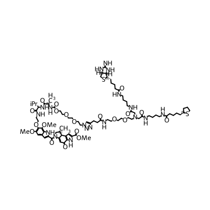 COC(=O)c1cc2c([nH]1)C(=O)C=C1C2[C@H](C)CN1C(=O)c1cc2cc(OC)c(OCCNC(=O)C(NC(=O)[C@H](C)NC(=O)OCCOCCOCCn3cc(CCC(=O)NCCOCCOCCN(CC(=O)NCCCCNC(=O)CCCC[C@H]4CCCS4)CC(=O)NCCCCNC(=O)CCCC[C@@H]4SC[C@@H]5NC(=N)N[C@@H]54)nn3)C(C)C)c(OC)c2[nH]1